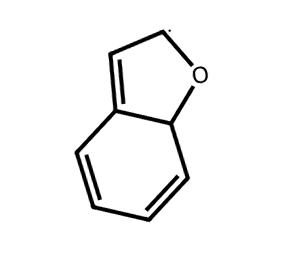 [CH]1C=C2C=CC=CC2O1